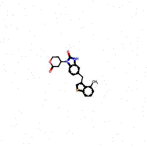 Cc1cccc2scc(Cc3ccc4c(c3)[nH]c(=O)n4C3CCOC(=O)C3)c12